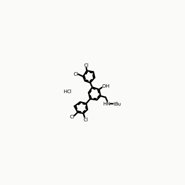 CC(C)(C)NCc1cc(-c2ccc(Cl)c(Cl)c2)cc(-c2ccc(Cl)c(Cl)c2)c1O.Cl